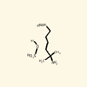 CCCCCCCCCCCCCC(C)(C)N.CCOS(=O)(=O)O